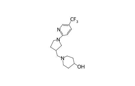 OC1CCN(CC2CCN(c3ccc(C(F)(F)F)cn3)C2)CC1